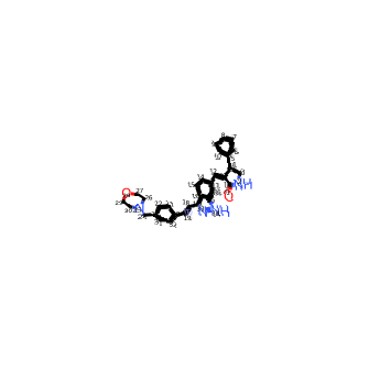 O=C1NCC(c2ccccc2)C1=Cc1ccc2c(/C=C/c3ccc(CN4CCOCC4)cc3)n[nH]c2c1